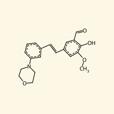 COc1cc(/C=C/c2cccc(N3CCOCC3)c2)cc(C=O)c1O